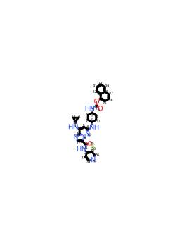 O=C(N[C@H]1CC[C@H](Nc2cc(NC3CC3)c3ncc(C(=O)Nc4ccncc4F)n3n2)CC1)Oc1cccc2ccccc12